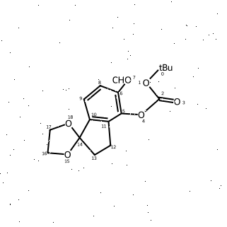 CC(C)(C)OC(=O)Oc1c(C=O)ccc2c1CCC21OCCO1